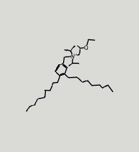 CCCCCCCCCc1ccc(C[N+](CC(C)OCC)(C(C)C)C(C)C)cc1CCCCCCCCC